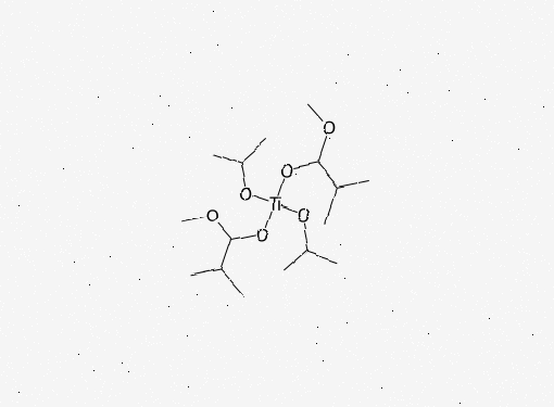 COC([O][Ti]([O]C(C)C)([O]C(C)C)[O]C(OC)C(C)C)C(C)C